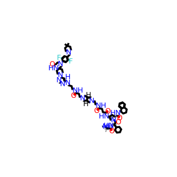 CN[C@@H](C)C(=O)N[C@H](C(=O)N1C[C@@H](NC(=O)CCC(=O)NCCN2C[C@@H]3CN(CCC(=O)NCCCNc4cc(N5CCC6(CC5)CN(c5cc(F)c(CN7CCC(C)(C)CC7)cc5F)CC(=O)N6)ncn4)C[C@@H]3C2)C[C@H]1C(=O)NC1CCCc2ccccc21)C1CCCCC1